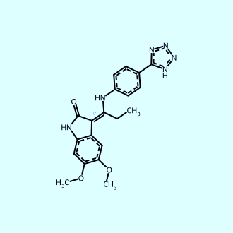 CC/C(Nc1ccc(-c2nnn[nH]2)cc1)=C1/C(=O)Nc2cc(OC)c(OC)cc21